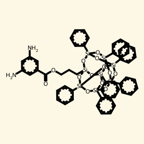 Nc1cc(N)cc(C(=O)OCCC[Si]23O[Si]4(c5ccccc5)O[Si]5(c6ccccc6)O[Si](c6ccccc6)(O2)O[Si]2(c6ccccc6)O[Si](c6ccccc6)(O3)O[Si](c3ccccc3)(O4)O[Si](c3ccccc3)(O5)O2)c1